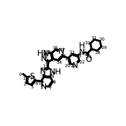 Cc1ccc(-c2nccc3[nH]c(-c4n[nH]c5cnc(-c6cncc(NC(=O)C7CCCCC7)c6)cc45)nc23)s1